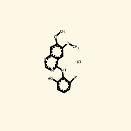 COc1cc2ncnc(Nc3c(O)cccc3Br)c2cc1OC.Cl